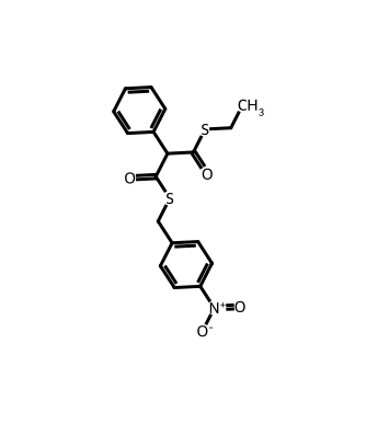 CCSC(=O)C(C(=O)SCc1ccc([N+](=O)[O-])cc1)c1ccccc1